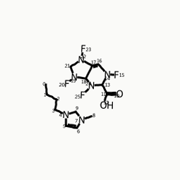 CCCCN1C=CN(C)C1.O=C(O)C1N(F)C=C2C(N(F)CN2F)N1F